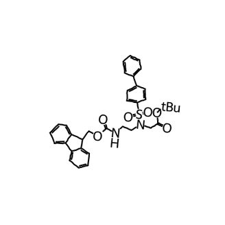 CC(C)(C)OC(=O)CN(CCNC(=O)OCC1c2ccccc2-c2ccccc21)S(=O)(=O)c1ccc(-c2ccccc2)cc1